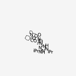 CCOC(=O)C1(C(=O)N2CCCC2COC(=O)N2CCN(c3nc(NC(C)C)nc(NC(C)C)n3)CC2)CCCCC1